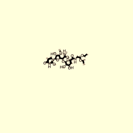 CCOC(CNC(=O)C1=C[C@H](O)[C@H](O)[C@@H](O[C@@H](C(N)=O)[C@H]2O[C@@H](n3ccc(=O)[nH]c3=O)[C@H](O)[C@@H]2OC)O1)OCC